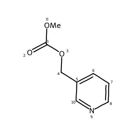 COC(=O)OCc1cccnc1